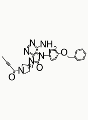 CC#CC(=O)N1CC[C@@H](n2c(=O)n(-c3ccc(OCc4ccccc4)cc3)c3c(N)ncnc32)C1